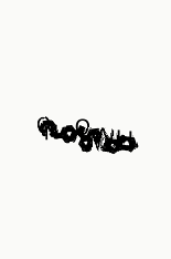 O=C(c1ccc(CN2CCOCC2)cc1)c1cccc2nc(N[C@@H]3CCc4ccccc43)ccc12